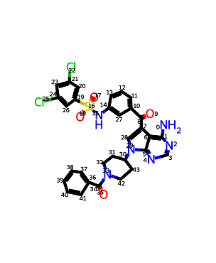 Nc1ncnc2c1c(C(=O)c1cccc(NS(=O)(=O)c3cc(Cl)cc(Cl)c3)c1)cn2C1CCN(C(=O)c2ccccc2)CC1